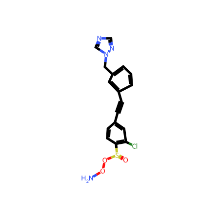 NOOS(=O)c1ccc(C#Cc2cccc(Cn3cncn3)c2)cc1Cl